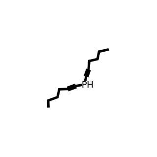 CCCCC#CPC#CCCCC